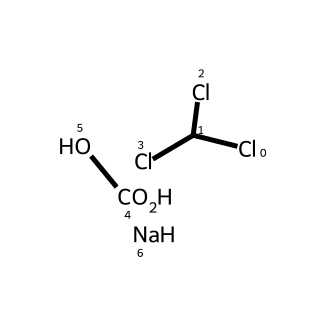 ClC(Cl)Cl.O=C(O)O.[NaH]